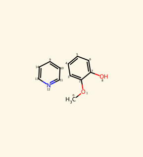 COc1ccccc1O.c1ccncc1